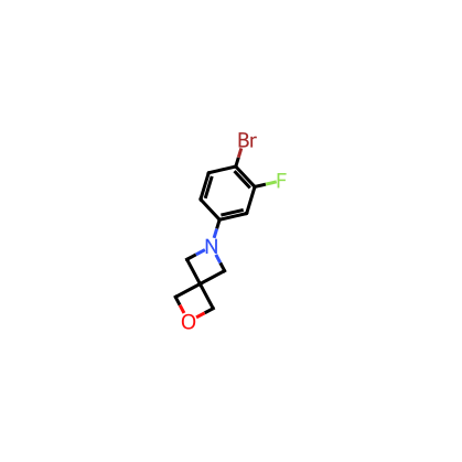 Fc1cc(N2CC3(COC3)C2)ccc1Br